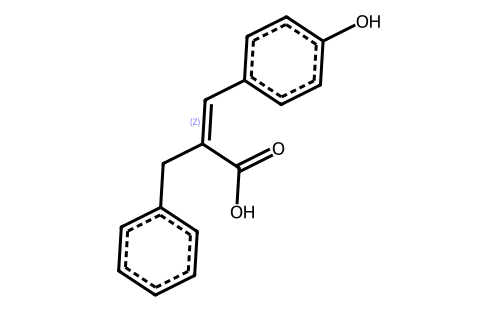 O=C(O)/C(=C\c1ccc(O)cc1)Cc1ccccc1